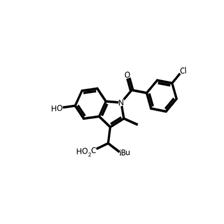 CCC(C)C(C(=O)O)c1c(C)n(C(=O)c2cccc(Cl)c2)c2ccc(O)cc12